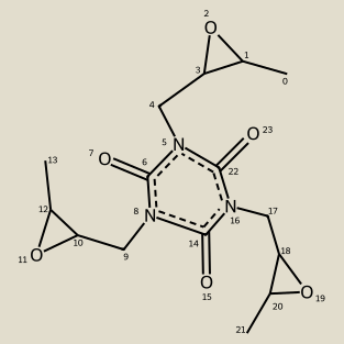 CC1OC1Cn1c(=O)n(CC2OC2C)c(=O)n(CC2OC2C)c1=O